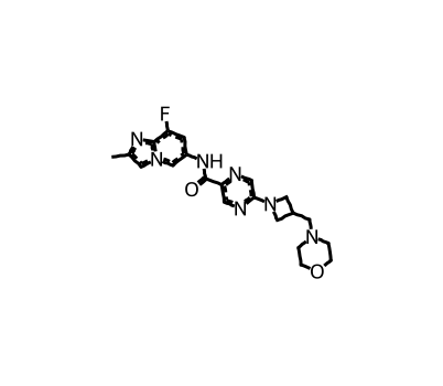 Cc1cn2cc(NC(=O)c3cnc(N4CC(CN5CCOCC5)C4)cn3)cc(F)c2n1